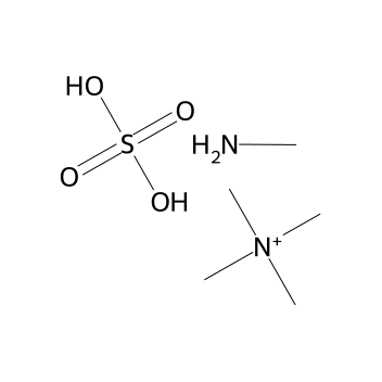 CN.C[N+](C)(C)C.O=S(=O)(O)O